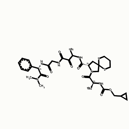 CCCC(NC(=O)[C@@H]1CC2(CN1C(=O)[C@@H](NC(=O)OCC1CC1)C(C)(C)C)SCCCS2)C(=O)C(=O)NCC(=O)N[C@H](C(=O)N(C)C)c1ccccc1